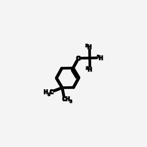 [2H]C([2H])([2H])OC1=CCC(C)(C)CC1